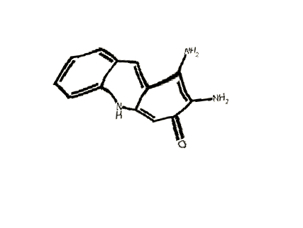 Nc1c2cc3ccccc3[nH]c-2cc(=O)c1N